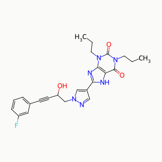 CCCn1c(=O)c2[nH]c(-c3cnn(CC(O)C#Cc4cccc(F)c4)c3)nc2n(CCC)c1=O